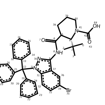 CC(C)(C)[C@@H]1C(C(=O)Nc2nn(C(c3ccccc3)(c3ccccc3)c3ccccc3)c3ccc(Br)cc23)CCCN1C(=O)O